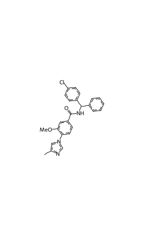 COc1cc(C(=O)NC(c2ccccc2)c2ccc(Cl)cc2)ccc1-n1cnc(C)c1